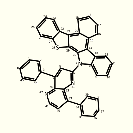 c1ccc(-c2cc(-n3c4ccccc4c4c5ccccc5c5c6ccccc6sc5c43)nc3c(-c4ccccc4)ccnc23)cc1